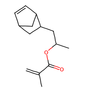 C=C(C)C(=O)OC(C)CC1CC2C=CC1C2